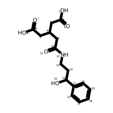 O=C(O)CC(CC(=O)O)CC(=O)NCCC(O)c1ccccc1